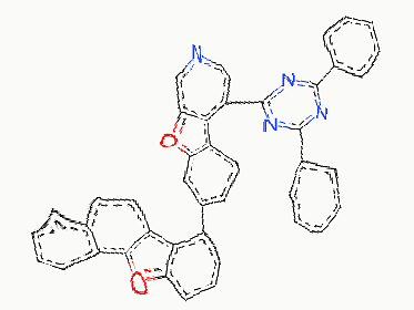 c1ccc(-c2nc(-c3ccccc3)nc(-c3cncc4oc5cc(-c6cccc7oc8c9ccccc9ccc8c67)ccc5c34)n2)cc1